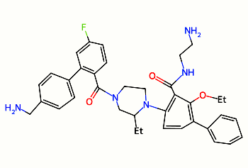 CCOc1c(-c2ccccc2)ccc(N2CCN(C(=O)c3ccc(F)cc3-c3ccc(CN)cc3)CC2CC)c1C(=O)NCCN